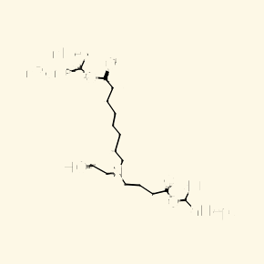 CCCCCCCC(CC)OC(=O)CCCN(CCO)CCCCCCCC(=O)OC(CCCCC)CCCCCC